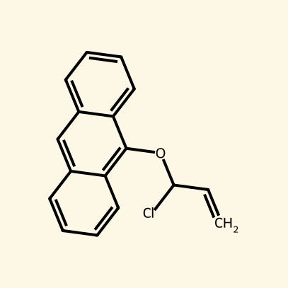 C=CC(Cl)Oc1c2ccccc2cc2ccccc12